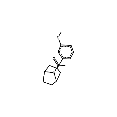 COc1cccc(C2CC3CCC(C2)N3C(C)=O)c1